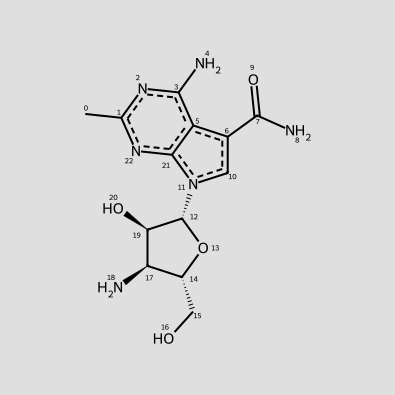 Cc1nc(N)c2c(C(N)=O)cn([C@@H]3O[C@H](CO)[C@@H](N)[C@H]3O)c2n1